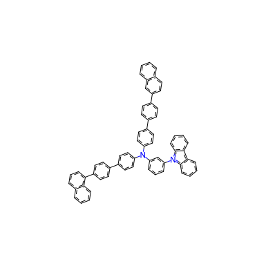 c1cc(N(c2ccc(-c3ccc(-c4ccc5ccccc5c4)cc3)cc2)c2ccc(-c3ccc(-c4cccc5ccccc45)cc3)cc2)cc(-n2c3ccccc3c3ccccc32)c1